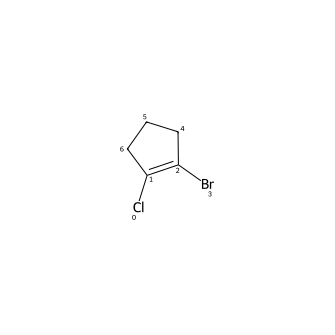 ClC1=C(Br)CCC1